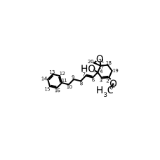 COC1=CC(O)(C=CCCCc2ccccc2)C2(CC1)CO2